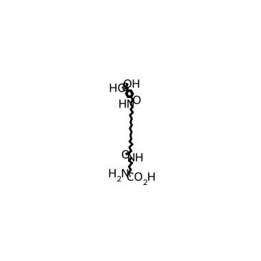 N[C@@H](CCCCNC(=O)CCCCCCCCCCCCCCCNC(=O)c1ccc(B(O)O)cc1)C(=O)O